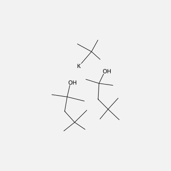 CC(C)(C)CC(C)(C)O.CC(C)(C)CC(C)(C)O.C[C](C)(C)[K]